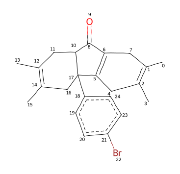 CC1=C(C)CC2=C(C1)C(=O)C1CC(C)=C(C)CC21c1ccc(Br)cc1